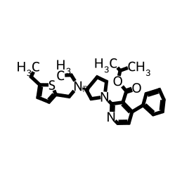 CCc1ccc(CN(CC)[C@@H]2CCN(c3nccc(-c4ccccc4)c3C(=O)OC(C)C)C2)s1